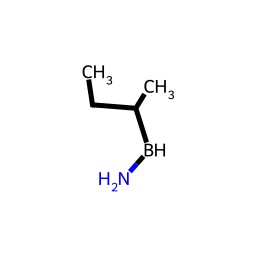 CCC(C)BN